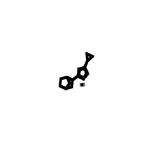 C1CC1c1noc(C2CN3CCC2C3)n1.Cl